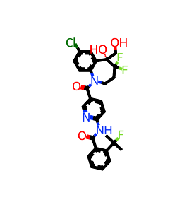 CC(C)(F)c1ccccc1C(=O)Nc1ccc(C(=O)N2CCC(F)(F)[C@](O)(CO)c3cc(Cl)ccc32)cn1